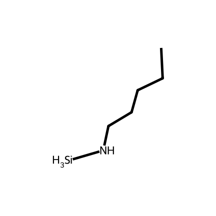 CCCCCN[SiH3]